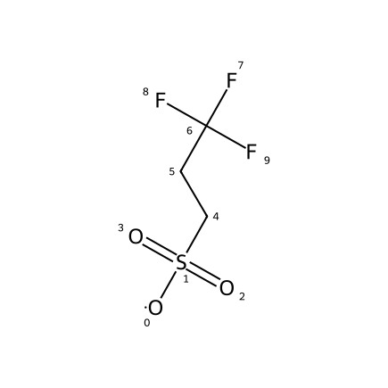 [O]S(=O)(=O)CCC(F)(F)F